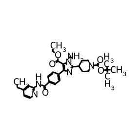 CCOC(=O)c1c(-c2ccc(C(=O)Nc3cc(CC)ccn3)cc2)nc(C2CCN(C(=O)OC(C)(C)C)CC2)n1N